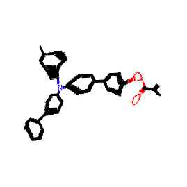 C=C(C)C(=O)Oc1ccc(-c2ccc(N(c3ccc(C)cc3)c3ccc(-c4ccccc4)cc3)cc2)cc1